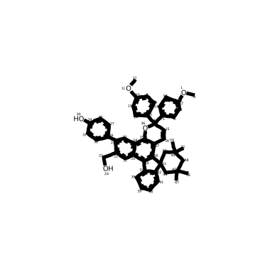 COc1ccc(C2(c3ccc(OC)cc3)C=Cc3c4c(c5cc(CO)c(-c6ccc(O)cc6)cc5c3O2)-c2ccccc2C42CC(C)(C)CC(C)(C)C2)cc1